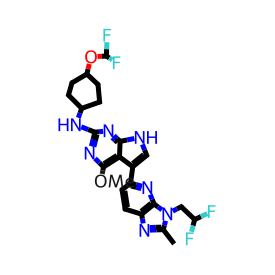 COc1nc(NC2CCC(OC(F)F)CC2)nc2[nH]cc(-c3ccc4nc(C)n(CC(F)F)c4n3)c12